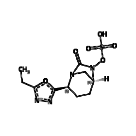 CCc1nnc([C@@H]2CC[C@H]3CN2C(=O)N3OS(=O)(=O)O)o1